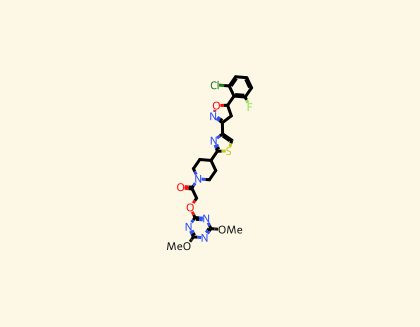 COc1nc(OC)nc(OCC(=O)N2CCC(c3nc(C4=NOC(c5c(F)cccc5Cl)C4)cs3)CC2)n1